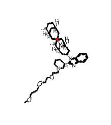 COCCOCCOCCN1CCC[C@H](c2nc3ccccc3n2[C@@H]2C[C@@H]3CC[C@@H](C)[C@H](C2)N3[C@H]2C[C@@H]3CC[C@@H](C)[C@@H](C3)C2)C1